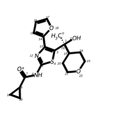 C[C@@](O)(c1sc(NC(=O)C2CC2)nc1-c1ccco1)C1CCOCC1